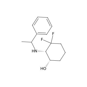 CC(N[C@H]1[C@@H](O)CCCC1(F)F)c1ccccc1